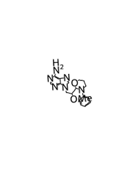 COC(Cn1cnc2c(N)ncnc21)C1OCCCN1c1ccccc1